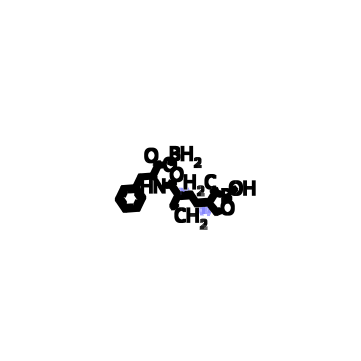 BOC(=O)C(Cc1ccccc1)NC(=O)/C(C=C)=C/C=C1/COB(O)C1=C